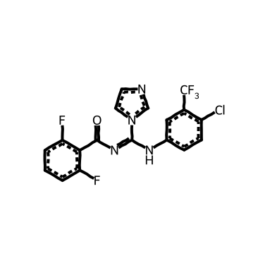 O=C(/N=C(/Nc1ccc(Cl)c(C(F)(F)F)c1)n1ccnc1)c1c(F)cccc1F